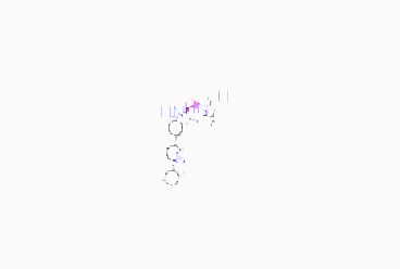 Cc1cc(C)c(/C=C2\C(=O)Nc3ccc(-c4ccc(-c5ccccc5)nc4)cc32)[nH]1